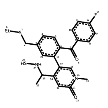 CCSCc1ccc(C(=O)c2ccc(F)cc2)c(-c2cn(C)c(=O)cc2C(C)NS)c1